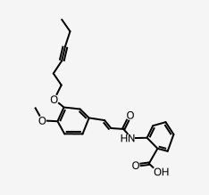 CCC#CCCOc1cc(C=CC(=O)Nc2ccccc2C(=O)O)ccc1OC